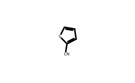 N#Cc1c[c]cs1